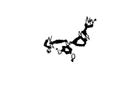 COc1cc(OC)cc(N(CC#Cc2nccc(OC)n2)c2ccc3ncc(-c4cnn(C)c4)nc3c2)c1